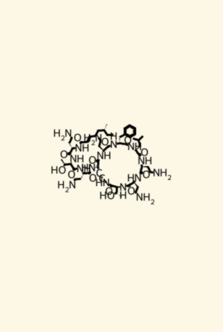 CC[C@@H](C)CC/C=C/C(=O)N[C@@H](CCN)C(=O)N[C@H](C(=O)N[C@@H](CCN)C(=O)N[C@H]1CCNC(=O)[C@H]([C@H](C)O)NC(=O)[C@H](CCN)NC(=O)[C@H](CCN)NC(=O)[C@H](CC(C)C)NC(=O)[C@@H](Cc2ccccc2)NC(=O)[C@H](CCN)NC1=O)[C@H](C)O